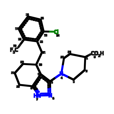 O=C(O)C1CCN(c2n[nH]c3c2C(Cc2c(Cl)cccc2C(F)(F)F)CCC3)CC1